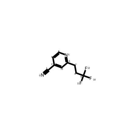 N#Cc1ccnc(CCC(F)(F)F)c1